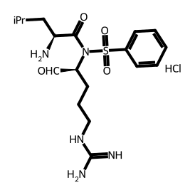 CC(C)C[C@H](N)C(=O)N([C@H](C=O)CCCNC(=N)N)S(=O)(=O)c1ccccc1.Cl